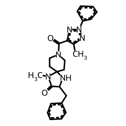 Cc1nn(-c2ccccc2)nc1C(=O)N1CCC2(CC1)NC(Cc1ccccc1)C(=O)N2C